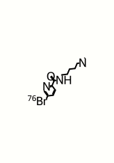 CN(C)CCCCCNC(=O)c1ccc([76Br])cn1